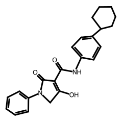 O=C(Nc1ccc(C2CCCCC2)cc1)C1=C(O)CN(c2ccccc2)C1=O